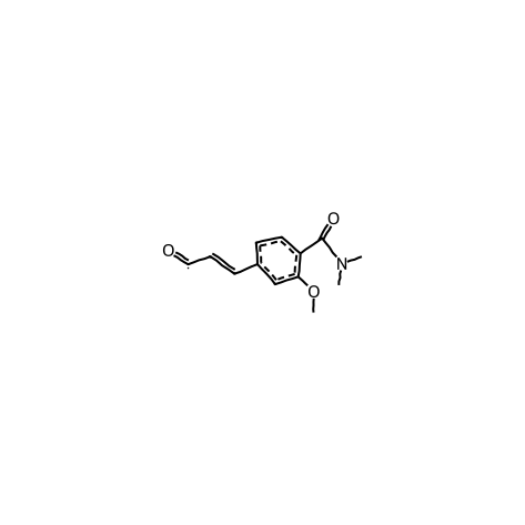 COc1cc(/C=C/[C]=O)ccc1C(=O)N(C)C